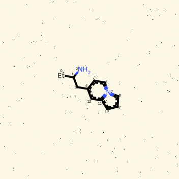 CCC(N)Cc1ccn2cccc2c1